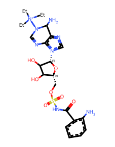 CC[N+](CC)(CC)N1C=Nc2c(ncn2[C@@H]2O[C@H](COS(=O)(=O)NC(=O)c3ccccc3N)C(O)C2O)C1N